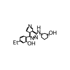 CCc1ccc(-c2nnc(N[C@H]3CCC[C@@H](O)C3)c3cnccc23)c(O)c1